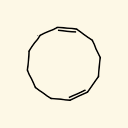 [CH]1C=CCCCC=CCCCC1